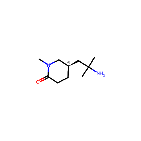 CN1C[C@@H](CC(C)(C)N)CCC1=O